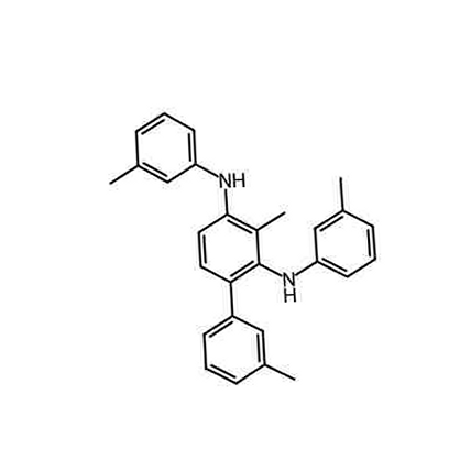 Cc1cccc(Nc2ccc(-c3cccc(C)c3)c(Nc3cccc(C)c3)c2C)c1